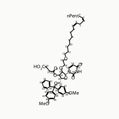 CCCCC/C=C\C/C=C\CCCCCCCCOCCOC1C(OC(=O)CCC(=O)O)[C@@H](COC(c2ccccc2)(c2ccc(OC)cc2)c2ccc(OC)cc2)O[C@H]1n1ccc(=O)[nH]c1=O